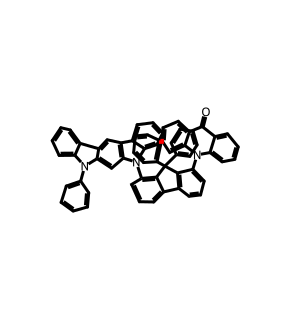 O=c1c2ccccc2n(-c2cccc3c2C(c2ccccc2)(c2ccccc2)c2c-3cccc2-n2c3ccccc3c3cc4c5ccccc5n(-c5ccccc5)c4cc32)c2ccccc12